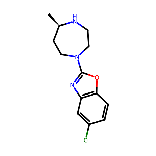 C[C@@H]1CCN(c2nc3cc(Cl)ccc3o2)CCN1